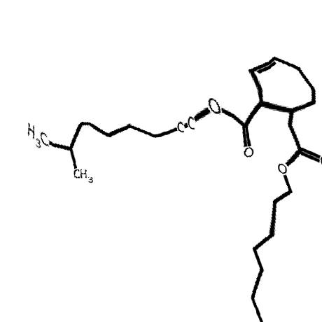 CC(C)CCCCCCOC(=O)C1C=CCCC1C(=O)OCCCCCCC(C)C